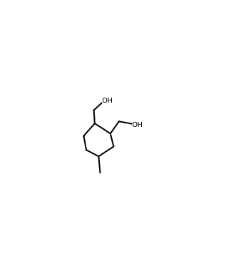 CC1CCC(CO)C(CO)C1